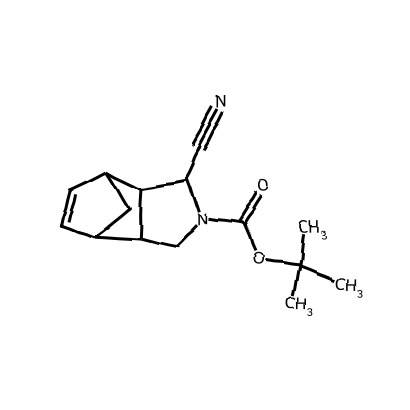 CC(C)(C)OC(=O)N1CC2C3C=CC(C3)C2C1C#N